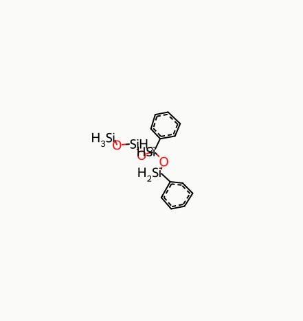 [SiH3]O[SiH2]O[SiH](O[SiH2]c1ccccc1)c1ccccc1